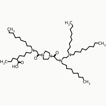 CCCCCCCCCN(CCCCCCCCC)CCN(CCCCCCCCC)CC(=O)N1CCN(C(=O)CN(CCCCCCCCC)CCCCC(CCC)C(=O)O)CC1